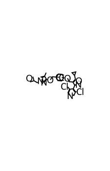 Cc1cn(CC2COC2)nc1OCC12CCC(OCc3c(-c4c(Cl)cncc4Cl)noc3C3CC3)(CC1)CC2